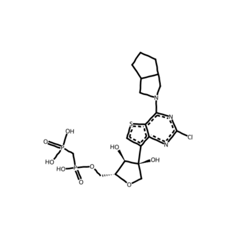 O=P(O)(O)CP(=O)(O)OC[C@H]1OC[C@@](O)(c2csc3c(N4CC5CCCC5C4)nc(Cl)nc23)[C@@H]1O